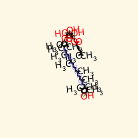 CC1=C(/C=C/C(C)=C/C=C/C(C)=C/C=C/C=C(C)/C=C/C=C(C)/C=C/C2=C(C)C[C@@H](OC3O[C@H](COC(=O)CCCCC(C)C)[C@@H](O)[C@H](O)[C@H]3O)CC2(C)C)C(C)(C)C[C@H](O)C1